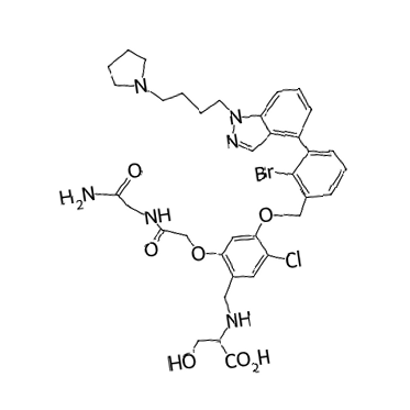 NC(=O)CNC(=O)COc1cc(OCc2cccc(-c3cccc4c3cnn4CCCCN3CCCC3)c2Br)c(Cl)cc1CNC(CO)C(=O)O